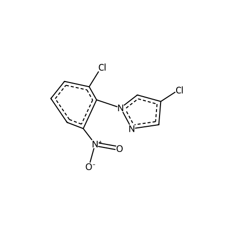 O=[N+]([O-])c1cccc(Cl)c1-n1cc(Cl)cn1